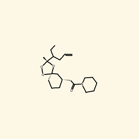 C=CCC(CC)[C@@]1(C)OO[C@@]2(CCC[C@@H](CC(=O)N3CCCCC3)C2)O1